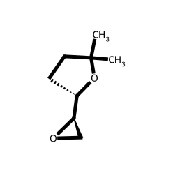 CC1(C)CC[C@@H]([C@H]2CO2)O1